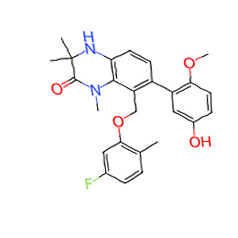 COc1ccc(O)cc1-c1ccc2c(c1COc1cc(F)ccc1C)N(C)C(=O)C(C)(C)N2